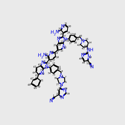 N#Cc1cc(N2CCN(Cc3ccc(-n4c(-c5ccc(-c6cnc7c(c6)nc(-c6cccnc6N)n7-c6ccc(CN7CCC(Nc8nccc(C#N)n8)CC7)cc6)nc5N)nc5ccc(-c6ccccc6)nc54)cc3)CC2)ncn1